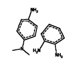 CN(C)c1ccc(N)cc1.Nc1ccccc1N